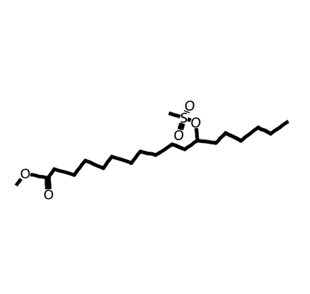 CCCCCCC(CCCCCCCCCCC(=O)OC)OS(C)(=O)=O